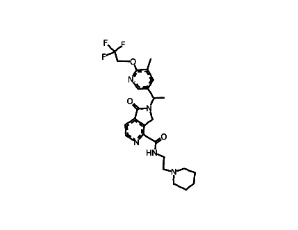 Cc1cc(C(C)N2Cc3c(ccnc3C(=O)NCCN3CCCCC3)C2=O)cnc1OCC(F)(F)F